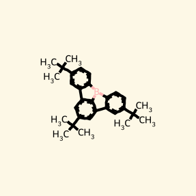 CC(C)(C)c1ccc2c(c1)-c1cc(C(C)(C)C)cc3c1B2c1ccc(C(C)(C)C)cc1-3